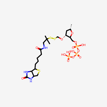 C[C@H]1C[C@@H](OCSSC(C)(C)CNC(=O)CCCCC2SCC3NC(=O)NC32)C(COP(=O)(O)OP(=O)(O)OP(=O)(O)O)O1